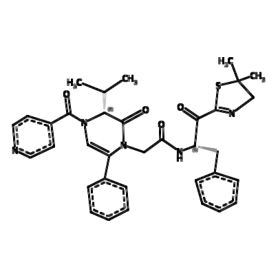 CC(C)[C@@H]1C(=O)N(CC(=O)N[C@@H](Cc2ccccc2)C(=O)C2=NCC(C)(C)S2)C(c2ccccc2)=CN1C(=O)c1ccncc1